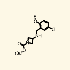 CCOc1ccc(Cl)cc1CNC1CN(C(=O)OC(C)(C)C)C1